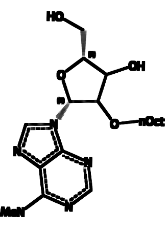 CCCCCCCCOC1C(O)[C@@H](CO)O[C@H]1n1cnc2c(NC)ncnc21